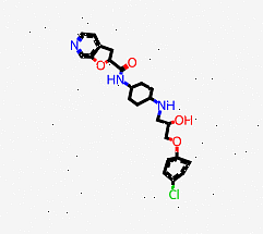 O=C(NC1CCC(NCC(O)COc2ccc(Cl)cc2)CC1)C1Cc2ccncc2O1